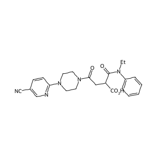 CCN(C(=O)C(CC(=O)N1CCN(c2ccc(C#N)cn2)CC1)C(=O)O)c1ccccc1